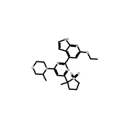 CCOc1cc(-c2nc(N3CCOCC3C)cc(C3(C)CCCS3(=O)=O)n2)c2cc[nH]c2n1